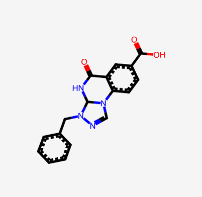 O=C(O)c1ccc2c(c1)C(=O)NC1N(Cc3ccccc3)N=CN21